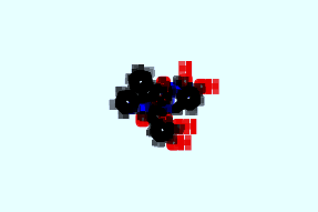 CNC(=O)CC[C@](NC(c1ccccc1)(c1ccccc1)c1ccccc1)(C(=O)NCc1ccc(O)c(O)c1)C(=O)c1ccc(O)c(O)c1